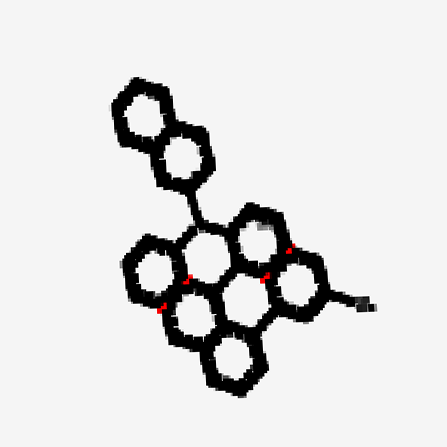 CC(C)(C)c1cc(-c2cccc3cccc(-c4ccccc4N(c4ccccc4)c4ccc5ccccc5c4)c23)cc(C(C)(C)C)c1